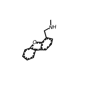 CNCc1cccc2c1oc1ccccc12